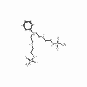 CS(=O)(=O)OCCOCCN(CCOCCOS(C)(=O)=O)c1ccccc1